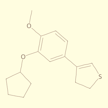 COc1ccc(C2=CSCC2)cc1OC1CCCC1